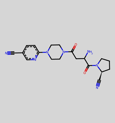 N#Cc1ccc(N2CCN(C(=O)CC(N)C(=O)N3CCC[C@H]3C#N)CC2)nc1